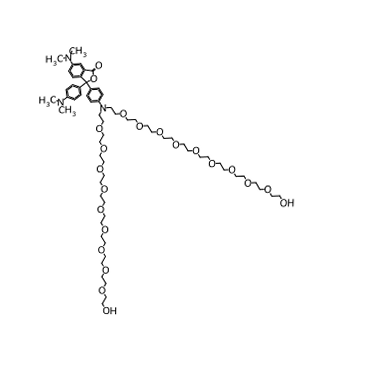 CN(C)c1ccc(C2(c3ccc(N(CCOCCOCCOCCOCCOCCOCCOCCOCCOCCO)CCOCCOCCOCCOCCOCCOCCOCCOCCOCCO)cc3)OC(=O)c3cc(N(C)C)ccc32)cc1